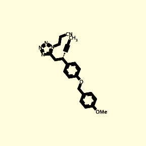 CC#C[C@@H](Cc1nnnn1CCC#N)c1ccc(OCc2ccc(OC)cc2)cc1